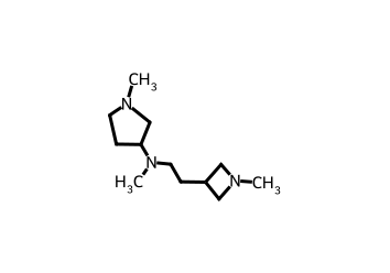 CN1CC(CCN(C)C2CCN(C)C2)C1